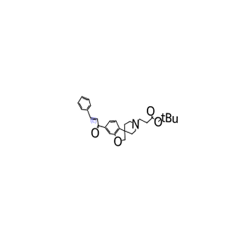 CC(C)(C)OC(=O)CCN1CCC2(CC1)COc1cc(C(=O)/C=C/c3ccccc3)ccc12